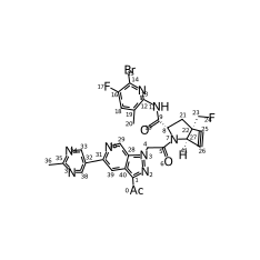 CC(=O)c1nn(CC(=O)N2[C@H](C(=O)Nc3nc(Br)c(F)cc3C)C[C@@]3(CF)C#C[C@@H]23)c2cnc(-c3cnc(C)nc3)cc12